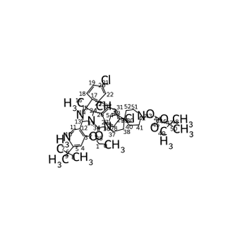 CCOc1cc(C(C)(C)C)ncc1C1=N[C@@](C)(c2ccc(Cl)cc2)[C@@](C)(c2ccc(Cl)cc2)N1C(=O)N1CCC2(CCN(OC(=O)OC(C)(C)C)CC2)CC1